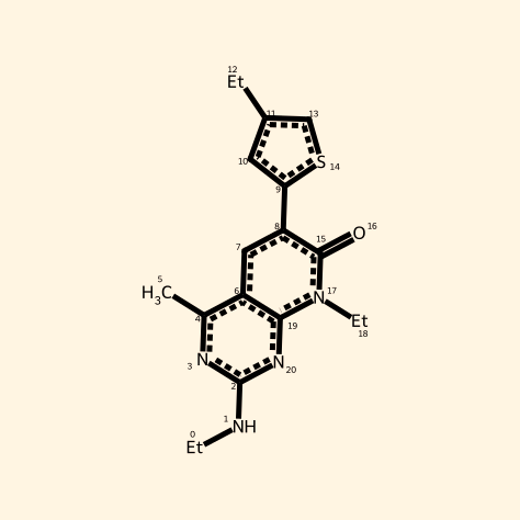 CCNc1nc(C)c2cc(-c3cc(CC)cs3)c(=O)n(CC)c2n1